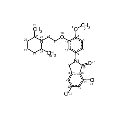 COc1ccc(N2Cc3cc(Cl)cc(Cl)c3C2=O)cc1OCCN1C(C)CCCC1C